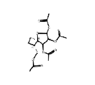 CC(=O)OC[C@@H]1CC[C@@]12OC(OC(C)=O)C(OC(C)=O)C2OC(C)=O